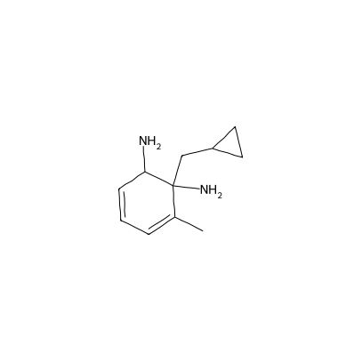 CC1=CC=CC(N)C1(N)CC1CC1